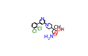 CC(CC(N)=O)(C(=O)O)C1CCN(c2cncc(-c3cccc(Cl)c3Cl)c2)CC1